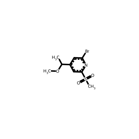 COC(C)c1cc(Br)nc(S(C)(=O)=O)c1